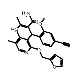 COc1cc(C#N)ccc1C1C(C(N)=O)=C(C)Nc2c(C)cnc(OCc3ccco3)c21